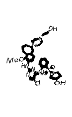 COc1c(Nc2ncc(Cl)c(Nc3ccccc3S(=O)(=O)N3CC[C@H](O)C3)n2)ccc2c1CCCC(N1CCN(CCO)CC1)C2